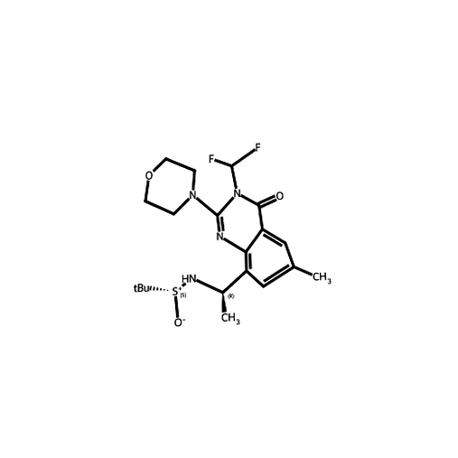 Cc1cc([C@@H](C)N[S@+]([O-])C(C)(C)C)c2nc(N3CCOCC3)n(C(F)F)c(=O)c2c1